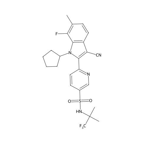 Cc1ccc2c(C#N)c(-c3ccc(S(=O)(=O)NC(C)(C)C(F)(F)F)cn3)n(C3CCCC3)c2c1F